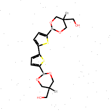 CCC1(CO)COB(c2ccc(-c3ccc(B4OCC(CC)(CO)CO4)s3)s2)OC1